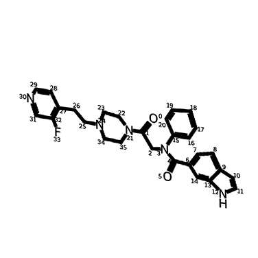 O=C(CN(C(=O)c1ccc2cc[nH]c2c1)c1ccccc1)N1CCN(CCc2ccncc2F)CC1